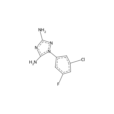 Nc1nc(N)n(-c2cc(F)cc(Cl)c2)n1